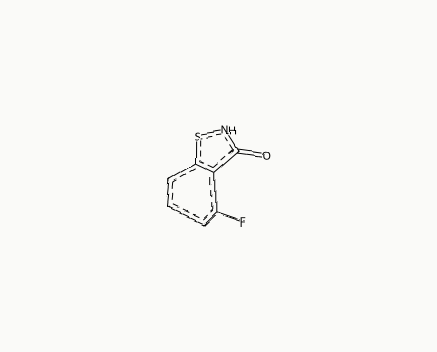 O=c1[nH]sc2cccc(F)c12